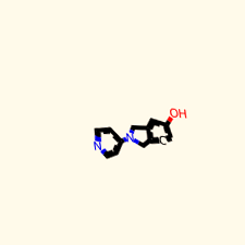 Oc1ccc2c(c1)CN(c1ccncc1)C2